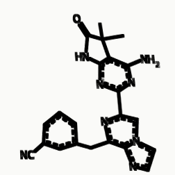 CC1(C)C(=O)Nc2nc(-c3cn4ccnc4c(Cc4cccc(C#N)c4)n3)nc(N)c21